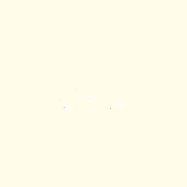 CC1(C)CC(=O)c2c(-c3nccs3)cn(-c3cccnc3)c2C1